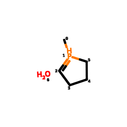 C[PH]1=CCCC1.O